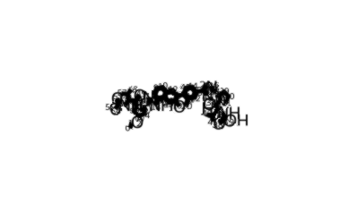 CCO[C@H]1C[C@@H](c2nc3ccc4cc5c(cc4c3[nH]2)OCc2cc(-c3cnc([C@@H]4CCCN4C(=O)C(NC(=O)O)C(C)C)[nH]3)ccc2-5)N(C(=O)C(NC(=O)OC)C(C)C)C1